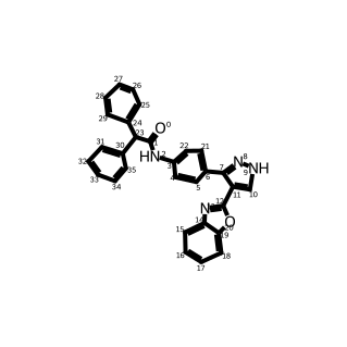 O=C(Nc1ccc(-c2n[nH]cc2-c2nc3ccccc3o2)cc1)C(c1ccccc1)c1ccccc1